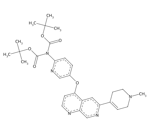 CN1CC=C(c2cc3c(Oc4ccc(N(C(=O)OC(C)(C)C)C(=O)OC(C)(C)C)nc4)ccnc3cn2)CC1